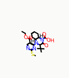 CCOC(=O)c1cnc(SC)nc1N1C(C(C)(C)C)C(=O)N(C(=O)O)[C@@H]2CCCC[C@H]21